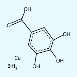 O=C(O)c1cc(O)c(O)c(O)c1.[BiH3].[Cu]